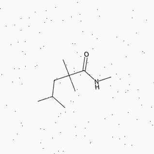 CNC(=O)C(C)(C)CC(C)C